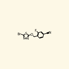 N#Cc1ccc(COc2nnc(Br)s2)c(F)c1